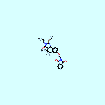 C=CCn1c(SCC)nc2c(c1=O)C(C)(C)Cc1cc(OCCN3C(=O)c4ccccc4C3=O)ccc1-2